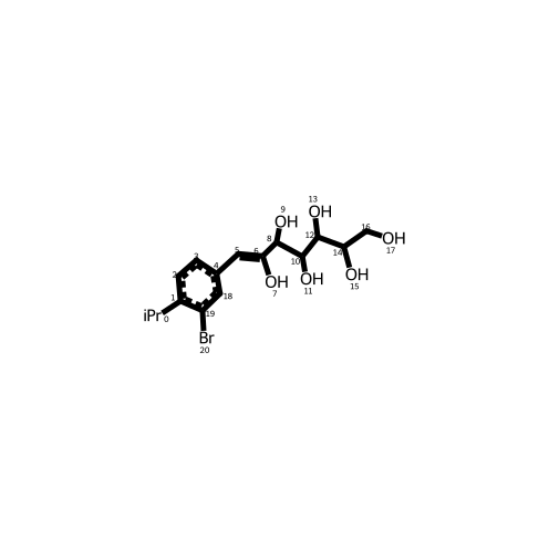 CC(C)c1ccc(C=C(O)C(O)C(O)C(O)C(O)CO)cc1Br